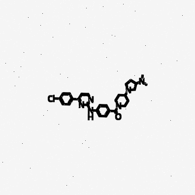 CN(C)C1CCN(C2CCN(C(=O)c3ccc(Nc4nccc(-c5ccc(Cl)cc5)n4)cc3)CC2)C1